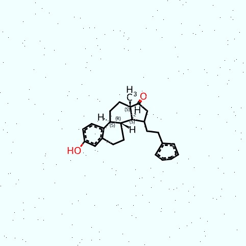 C[C@]12CC[C@@H]3c4ccc(O)cc4CC[C@H]3[C@@H]1C(CCc1ccccc1)CC2=O